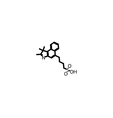 CC1=Nc2cc(CCCCS(=O)(=O)O)c3ccccc3c2C1(C)C